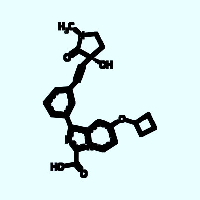 CN1CC[C@@](O)(C#Cc2cccc(-c3nc(C(=O)O)n4ccc(OC5CCC5)cc34)c2)C1=O